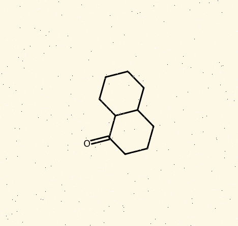 O=C1CCCC2CCCCC12